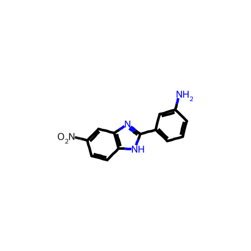 Nc1cccc(-c2nc3cc([N+](=O)[O-])ccc3[nH]2)c1